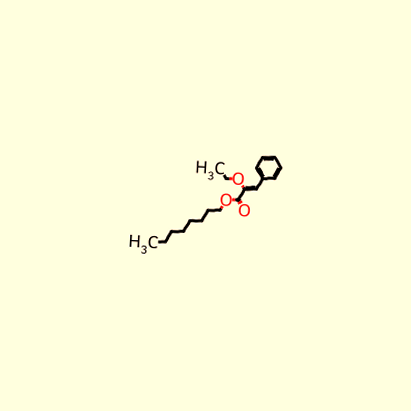 CCCCCCCCOC(=O)C(=Cc1ccccc1)OCC